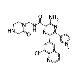 Cn1ccc(-c2nc(N)c(C(=O)NCN3CCNCC3=O)nc2-c2cc(Cl)c3ncccc3c2)c1